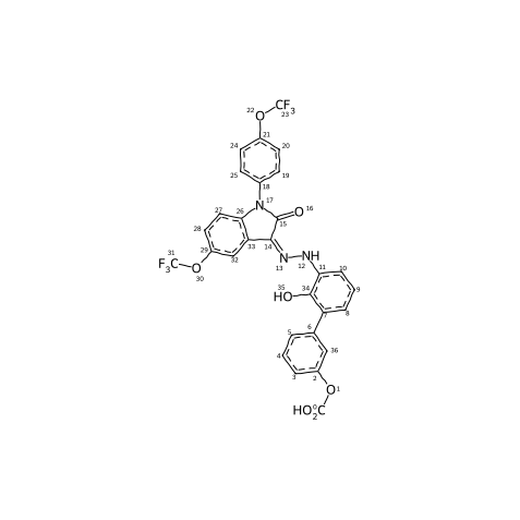 O=C(O)Oc1cccc(-c2cccc(NN=C3C(=O)N(c4ccc(OC(F)(F)F)cc4)c4ccc(OC(F)(F)F)cc43)c2O)c1